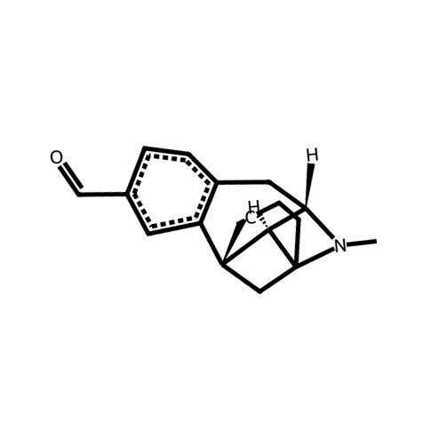 CN1[C@H]2Cc3ccc(C=O)cc3[C@@]34CCCCC1(C3)[C@H]24